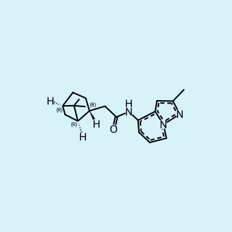 Cc1cc2c(NC(=O)C[C@H]3CC[C@@H]4C[C@H]3C4(C)C)cccn2n1